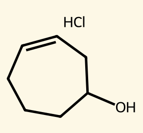 Cl.OC1CC=CCCC1